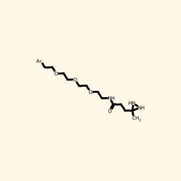 CC(=O)CCOCCOCCOCCNC(=O)CCC1(C)NN1